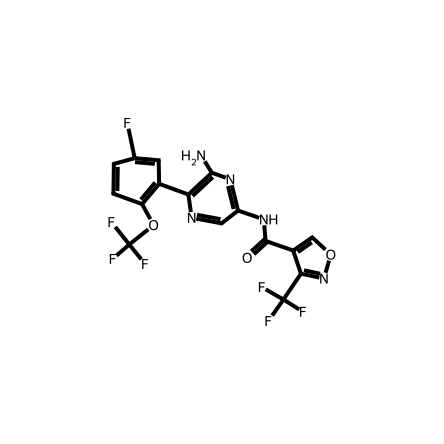 Nc1nc(NC(=O)c2conc2C(F)(F)F)cnc1-c1cc(F)ccc1OC(F)(F)F